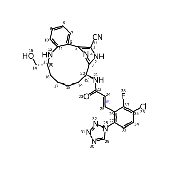 N#Cc1[nH]c2nc1-c1ccccc1N[C@@H](CO)CCCC[C@@H]2NC(=O)/C=C/c1c(-n2cnnn2)ccc(Cl)c1F